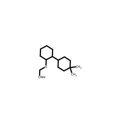 COCOC1[CH]CCCC1C1CCC(C)(C)CC1